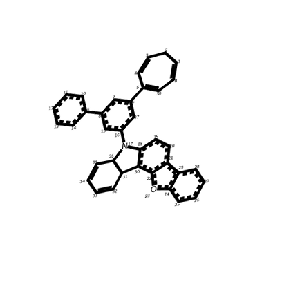 C1=CCC=CC(c2cc(-c3ccccc3)cc(N3c4ccc5c(oc6ccccc65)c4C4C=CC=CC43)c2)=C1